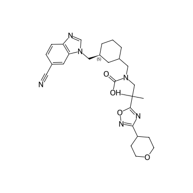 CC(C)(CN(CC1CCC[C@H](Cn2cnc3ccc(C#N)cc32)C1)C(=O)O)c1nc(C2CCOCC2)no1